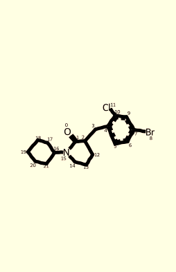 O=C1C(Cc2ccc(Br)cc2Cl)CCCN1C1CCCCC1